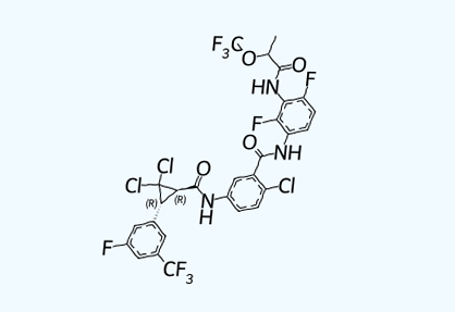 CC(OC(F)(F)F)C(=O)Nc1c(F)ccc(NC(=O)c2cc(NC(=O)[C@H]3[C@H](c4cc(F)cc(C(F)(F)F)c4)C3(Cl)Cl)ccc2Cl)c1F